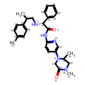 CC(CN[C@@H](C(=O)Nc1ccc(N2CC(=O)N(C)CC2C)cn1)c1ccccc1)c1ccc(C#N)cc1